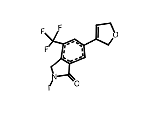 O=C1c2cc(C3=CCOC3)cc(C(F)(F)F)c2CN1I